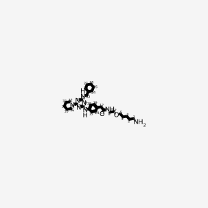 NCCCCCOCCNC(=O)Cc1ccc(Nc2nc(NCC3CCCCC3)nc(N3CCCCC3)n2)cc1